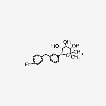 CCc1ccc(Cc2cccc([C@@H]3OC(C)(C)[C@@H](O)[C@H](O)[C@H]3O)c2)cc1